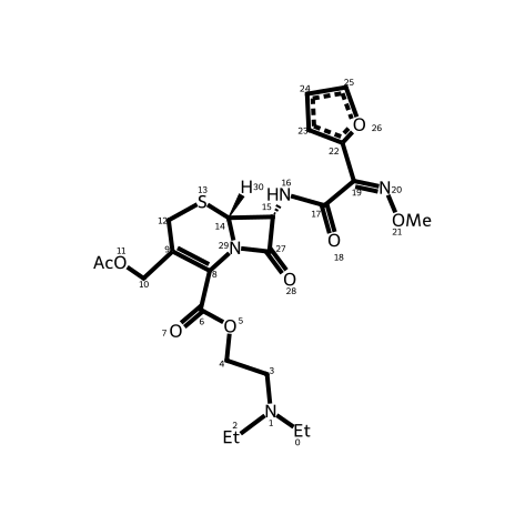 CCN(CC)CCOC(=O)C1=C(COC(C)=O)CS[C@@H]2[C@H](NC(=O)/C(=N\OC)c3ccco3)C(=O)N12